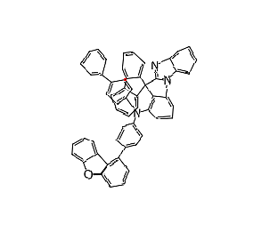 c1ccc(-c2ccc(N(c3ccc(-c4cccc5oc6ccccc6c45)cc3)c3cccc4c3C3(c5ccccc5-c5ccccc53)c3nc5ccccc5n3-4)cc2)cc1